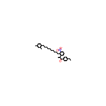 C=C(C(=O)c1ccc(CC)cc1)c1cccc([N+](=O)[O-])c1CCCCCCCCCCc1ccc(C)cc1C